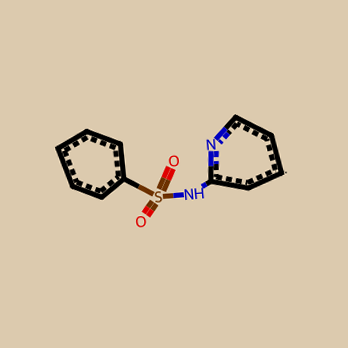 O=S(=O)(Nc1c[c]ccn1)c1ccccc1